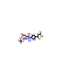 CCCC(NC(=O)OC(C)(C)C)C(=O)Nc1ccc(C(C)=CC(C)=O)cn1